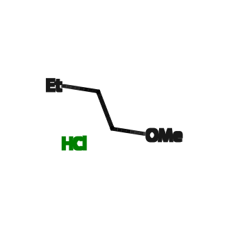 CCCCOC.Cl